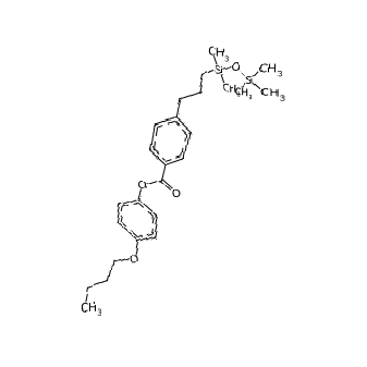 CCCCOc1ccc(OC(=O)c2ccc(CCC[Si](C)(C)O[Si](C)(C)C)cc2)cc1